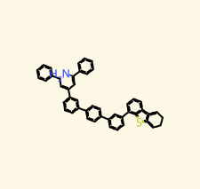 N/C(=C\C(=C/Cc1ccccc1)c1cccc(-c2ccc(-c3cccc(-c4cccc5c6c(sc45)=CCCC=6)c3)cc2)c1)c1ccccc1